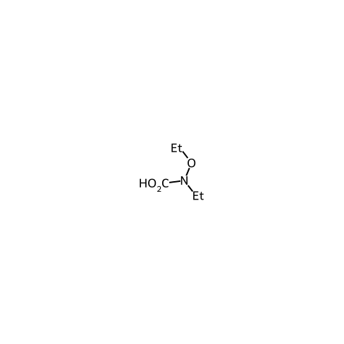 CCON(CC)C(=O)O